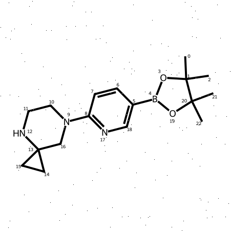 CC1(C)OB(c2ccc(N3CCNC4(CC4)C3)nc2)OC1(C)C